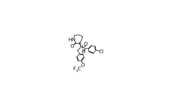 O=C1NCCCC[C@H]1N(Cc1ccc(OC(F)(F)F)cc1)S(=O)(=O)c1ccc(Cl)cc1